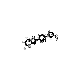 CO[C@@H]1CCN(c2ccc(-c3cc4n(n3)CC[C@@H](C)O4)cn2)C1